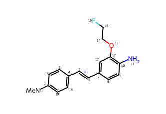 CNc1ccc(/C=C/c2ccc(N)c(OCCF)c2)cc1